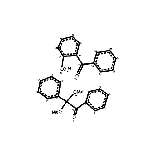 COC(OC)(C(=O)c1ccccc1)c1ccccc1.O=C(O)c1ccccc1C(=O)c1ccccc1